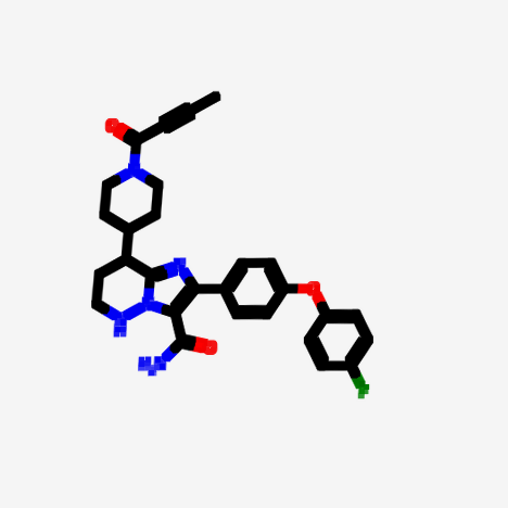 CC#CC(=O)N1CCC(C2CCNn3c2nc(-c2ccc(Oc4ccc(F)cc4)cc2)c3C(N)=O)CC1